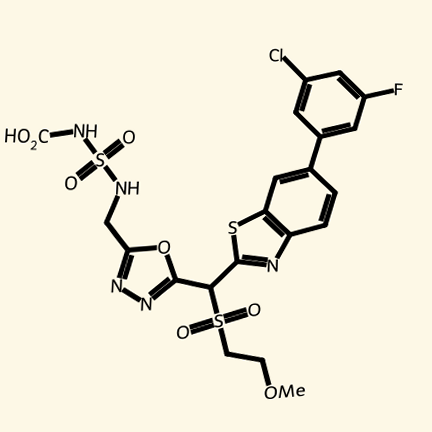 COCCS(=O)(=O)C(c1nnc(CNS(=O)(=O)NC(=O)O)o1)c1nc2ccc(-c3cc(F)cc(Cl)c3)cc2s1